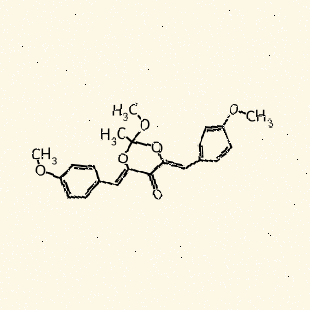 COc1ccc(/C=C2\OC(C)(OC)O/C(=C\c3ccc(OC)cc3)C2=O)cc1